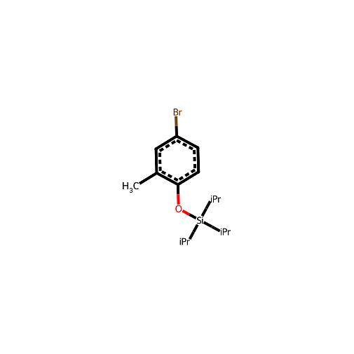 Cc1cc(Br)ccc1O[Si](C(C)C)(C(C)C)C(C)C